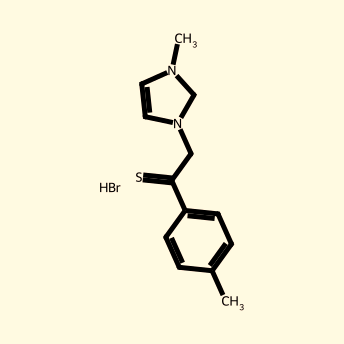 Br.Cc1ccc(C(=S)CN2C=CN(C)C2)cc1